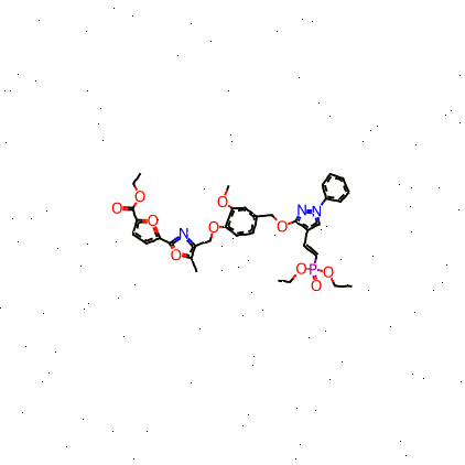 CCOC(=O)c1ccc(-c2nc(COc3ccc(COc4nn(-c5ccccc5)cc4C=CP(=O)(OCC)OCC)cc3OC)c(C)o2)o1